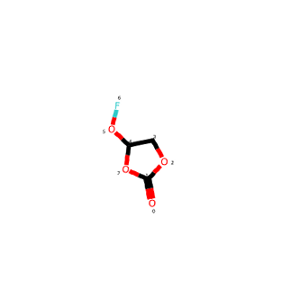 O=C1OCC(OF)O1